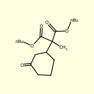 CCCCOC(=O)C(C)(C(=O)OCCCC)C1CCCC(=O)C1